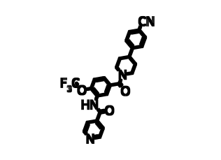 N#Cc1ccc(C2CCN(C(=O)c3ccc(OC(F)(F)F)c(NC(=O)c4ccncc4)c3)CC2)cc1